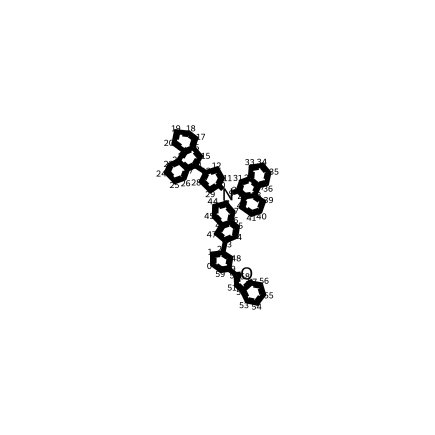 c1cc(-c2ccc3cc(N(c4ccc(-c5cc6ccccc6c6ccccc56)cc4)c4cc5ccccc5c5ccccc45)ccc3c2)cc(-c2cc3ccccc3o2)c1